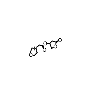 O=C1CC(OC(=O)CN2CCOCC2)CO1